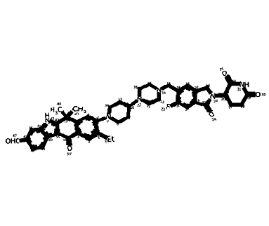 CCc1cc2c(cc1N1CCC(N3CCN(Cc4cc5c(cc4F)C(=O)N(C4CCC(=O)NC4=O)C5)CC3)CC1)C(C)(C)c1[nH]c3cc(C=O)ccc3c1C2=O